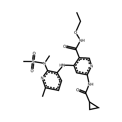 CCONC(=O)c1cnc(NC(=O)C2CC2)cc1Nc1ccc(C)nc1N(C)S(C)(=O)=O